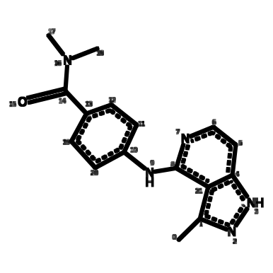 Cc1n[nH]c2ccnc(Nc3ccc(C(=O)N(C)C)cc3)c12